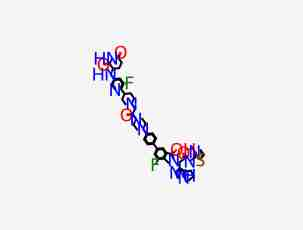 O=C1CCC(Nc2cnc(C3CCN(CC(=O)N4CCN(c5ccc(-c6cc(F)c7c(c6)C(O)N(C(C(=O)Nc6nccs6)c6ncn8c6CCC8)C7)cc5)CC4)CC3)c(F)c2)C(=O)N1